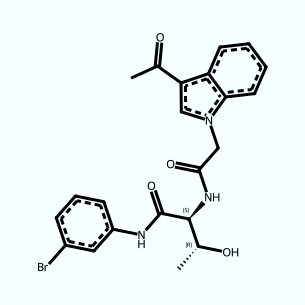 CC(=O)c1cn(CC(=O)N[C@H](C(=O)Nc2cccc(Br)c2)[C@@H](C)O)c2ccccc12